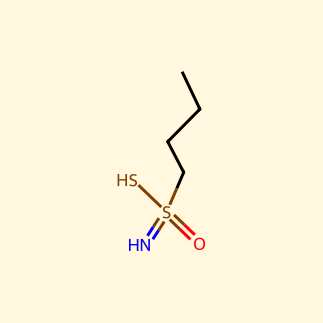 CCCCS(=N)(=O)S